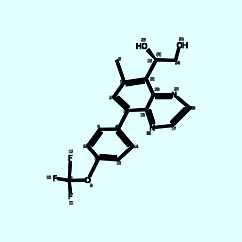 Cc1cc(-c2ccc(OC(F)(F)F)cc2)c2nccnc2c1[C@@H](O)CO